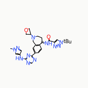 Cn1cc(Nc2ncnc(-c3ccc4c(c3)CN(C3COC3)CC[C@H]4NC(=O)c3cn(C(C)(C)C)nn3)n2)cn1